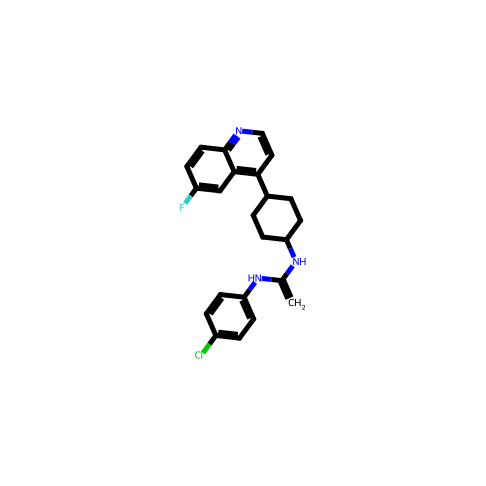 C=C(Nc1ccc(Cl)cc1)NC1CCC(c2ccnc3ccc(F)cc23)CC1